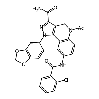 CC(=O)N1Cc2c(C(N)=O)nn(-c3ccc4c(c3)OCO4)c2-c2cc(NC(=O)c3ccccc3Cl)ccc21